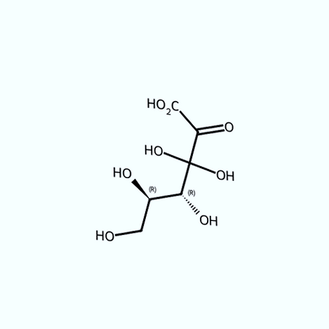 O=C(O)C(=O)C(O)(O)[C@H](O)[C@H](O)CO